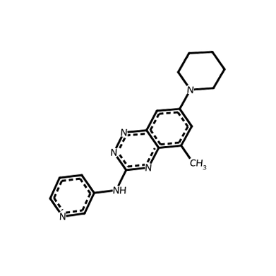 Cc1cc(N2CCCCC2)cc2nnc(Nc3cccnc3)nc12